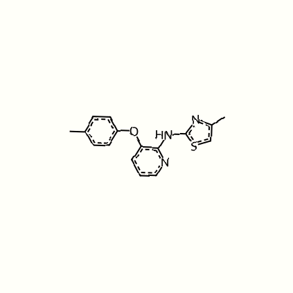 Cc1ccc(Oc2cccnc2Nc2nc(C)cs2)cc1